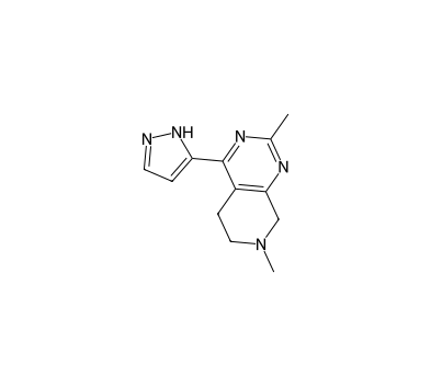 Cc1nc2c(c(-c3ccn[nH]3)n1)CCN(C)C2